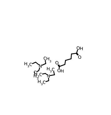 CCN(CC)CC.CCN(CC)CC.O=C(O)CCCCC(=O)O